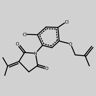 C=C(C)COc1cc(N2C(=O)CC(=C(C)C)C2=O)c(Cl)cc1Cl